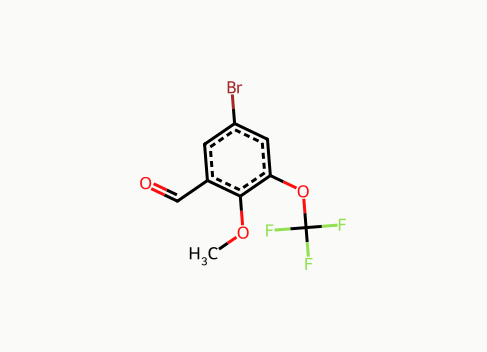 COc1c(C=O)cc(Br)cc1OC(F)(F)F